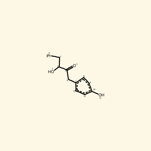 CC(C)CC(O)C(=O)Cc1ccc(O)cc1